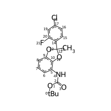 CC(C)(C)OC(=O)Nc1cccc2c1OC(C)(c1ccc(Cl)cc1F)O2